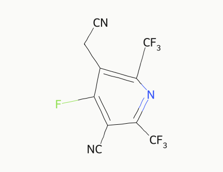 N#CCc1c(C(F)(F)F)nc(C(F)(F)F)c(C#N)c1F